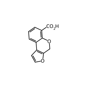 O=C(O)c1cccc2c1OCc1occc1-2